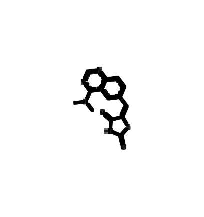 CN(C)c1ncnc2ccc(C=C3SC(=O)NC3=O)cc12